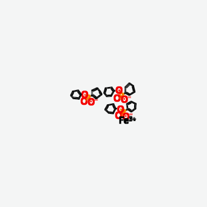 O=P([O-])(Oc1ccccc1)c1ccccc1.O=P([O-])(Oc1ccccc1)c1ccccc1.O=P([O-])(Oc1ccccc1)c1ccccc1.[Fe+3]